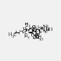 CCCCCCC(C)(C)c1cc(O)c2c(c1)OC(C)(C)[C@H]1CC=C(CN3CCNCC3)C[C@H]21